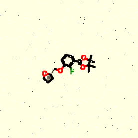 CC1(C)OB(c2cccc(OC[C@@H]3CCCO3)c2F)OC1(C)C